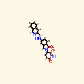 O=C1CCC(N2Cc3cc(NCc4cc5ccccc5cn4)ccc3C2=O)C(=O)N1